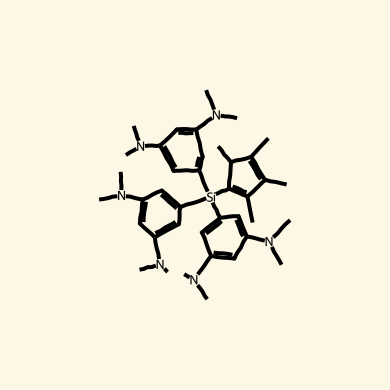 CC1=C(C)C(C)C([Si](c2cc(N(C)C)cc(N(C)C)c2)(c2cc(N(C)C)cc(N(C)C)c2)c2cc(N(C)C)cc(N(C)C)c2)=C1C